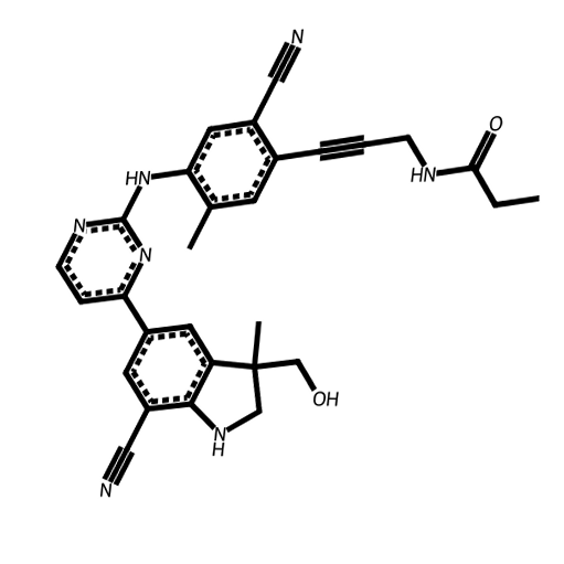 CCC(=O)NCC#Cc1cc(C)c(Nc2nccc(-c3cc(C#N)c4c(c3)C(C)(CO)CN4)n2)cc1C#N